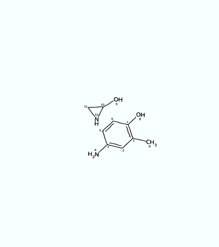 Cc1cc(N)ccc1O.OC1CN1